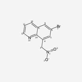 O=[N+]([O-])Cc1cc(Br)cc2cccnc12